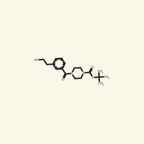 CC(C)(C)OC(=O)N1CCN(C(=O)c2cccc(CCO)c2)CC1